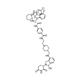 O=C1CCC(N2Cc3c(NCC4CCN(CCNC(=O)c5ccc(NC(=O)[C@@H]6NC7(CCCCC7)[C@@]7(C(=O)Nc8cc(Cl)ccc87)[C@H]6c6cccc(Cl)c6F)cc5)CC4)cccc3C2O)C(=O)N1